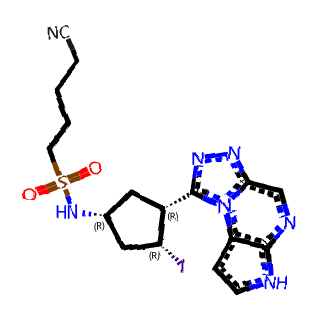 N#CCCCCS(=O)(=O)N[C@H]1C[C@@H](I)[C@@H](c2nnc3cnc4[nH]ccc4n23)C1